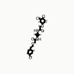 O=C(COCCc1ccc(Cl)cc1)NC12CC(NC(=O)COc3ccc(Cl)c(Cl)c3)(C1)C2